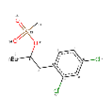 CCCCC(Cc1ccc(Cl)cc1Cl)OS(C)(=O)=O